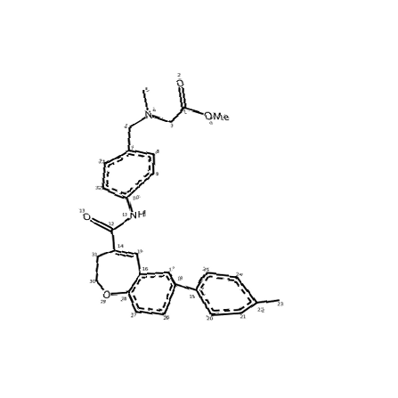 COC(=O)CN(C)Cc1ccc(NC(=O)C2=Cc3cc(-c4ccc(C)cc4)ccc3OCC2)cc1